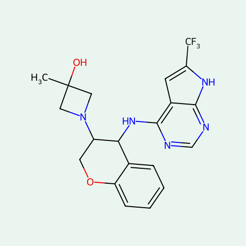 CC1(O)CN(C2COc3ccccc3C2Nc2ncnc3[nH]c(C(F)(F)F)cc23)C1